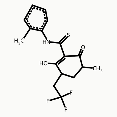 Cc1ccccc1NC(=S)C1=C(O)C(CC(F)(F)F)CC(C)C1=O